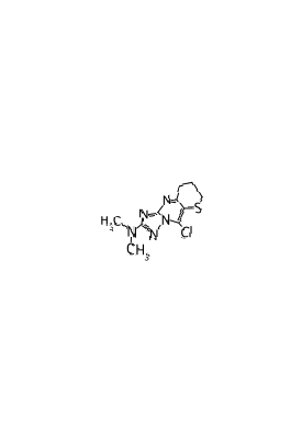 CN(C)c1nc2nc3c(c(Cl)n2n1)SCCC3